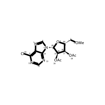 COC[C@H]1O[C@@H](n2cnc3c(Cl)ncnc32)[C@H](OC(C)=O)[C@@H]1OC(C)=O